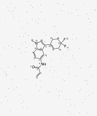 C=CC(=O)Nc1ccc2c(c1)c(C1=CCC(F)(F)CC1)cn2C